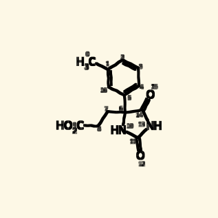 Cc1cccc(C2(CCC(=O)O)NC(=O)NC2=O)c1